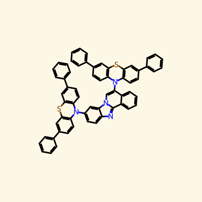 c1ccc(-c2ccc3c(c2)Sc2cc(-c4ccccc4)ccc2N3c2ccc3nc4c5ccccc5c(N5c6ccc(-c7ccccc7)cc6Sc6cc(-c7ccccc7)ccc65)cn4c3c2)cc1